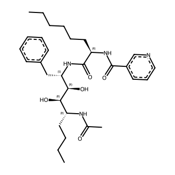 CCCCCC[C@@H](NC(=O)c1cccnc1)C(=O)N[C@@H](Cc1ccccc1)[C@@H](O)[C@H](O)[C@@H](CCCC)NC(C)=O